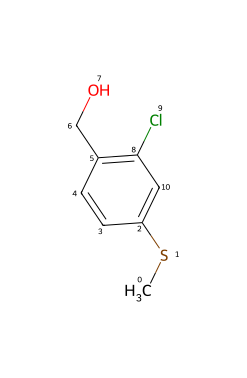 CSc1ccc(CO)c(Cl)c1